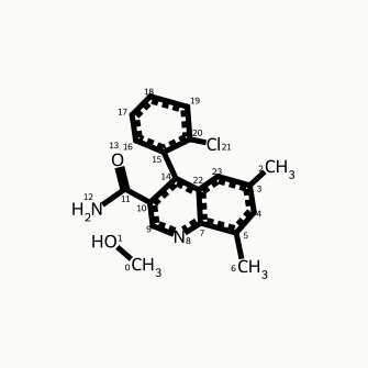 CO.Cc1cc(C)c2ncc(C(N)=O)c(-c3ccccc3Cl)c2c1